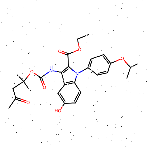 CCOC(=O)c1c(NC(=O)OC(C)(C)CC(C)=O)c2cc(O)ccc2n1-c1ccc(OC(C)C)cc1